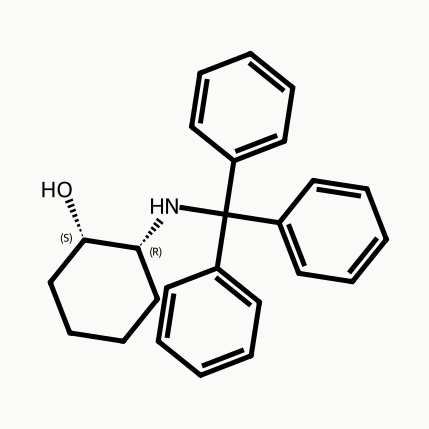 O[C@H]1CCCC[C@H]1NC(c1ccccc1)(c1ccccc1)c1ccccc1